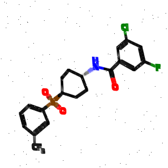 O=C(N[C@H]1CC[C@H](S(=O)(=O)c2cccc(C(F)(F)F)c2)CC1)c1cc(F)cc(Cl)c1